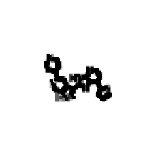 c1csc(-c2ccnc3[nH]c(-c4n[nH]c5cnc(-c6ccncc6)cc45)nc23)c1